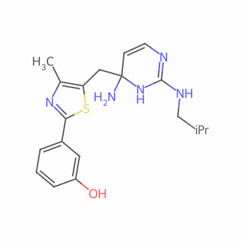 Cc1nc(-c2cccc(O)c2)sc1CC1(N)C=CN=C(NCC(C)C)N1